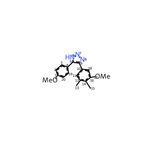 COc1ccc(-c2[nH]nnc2-c2cc(C)c(C)c(OC)c2)cc1